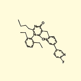 CCCCc1nc(=O)c(Cc2ccc(-c3ccc(F)nc3)cc2)c(O)n1-c1c(CC)cccc1CC